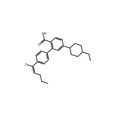 CCC/C=C(/F)c1ccc(-c2cc(C3CCC(CC)CC3)ccc2C(=O)O)cc1